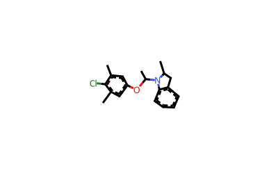 Cc1cc(OC(C)N2c3ccccc3CC2C)cc(C)c1Cl